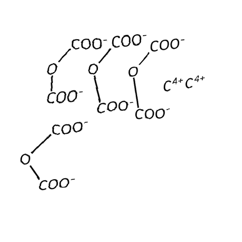 O=C([O-])OC(=O)[O-].O=C([O-])OC(=O)[O-].O=C([O-])OC(=O)[O-].O=C([O-])OC(=O)[O-].[C+4].[C+4]